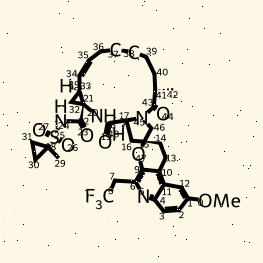 COc1ccc2nc(CC(F)(F)F)c3c(c2c1)CC[C@]1(C[C@H]2C(=O)N[C@]4(C(=O)NS(=O)(=O)C5(C)CC5)C[C@H]4/C=C\CCCCC[C@H](C)C(=O)N2C1)O3